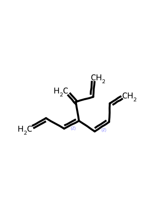 C=C/C=C\C(=C\C=C)C(=C)C=C